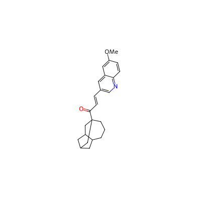 COc1ccc2ncc(/C=C/C(=O)C34CCCC5CC(CC5C3)C4)cc2c1